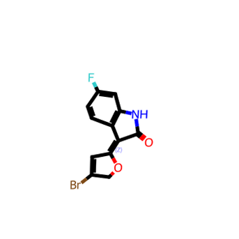 O=C1Nc2cc(F)ccc2/C1=C1\C=C(Br)CO1